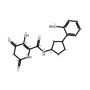 COc1ccccc1C1CCC(NC(=O)C2=C(O)C(=O)CC(=O)N2)C1